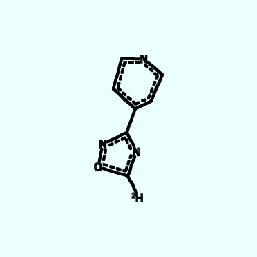 [2H]c1nc(-c2ccncc2)no1